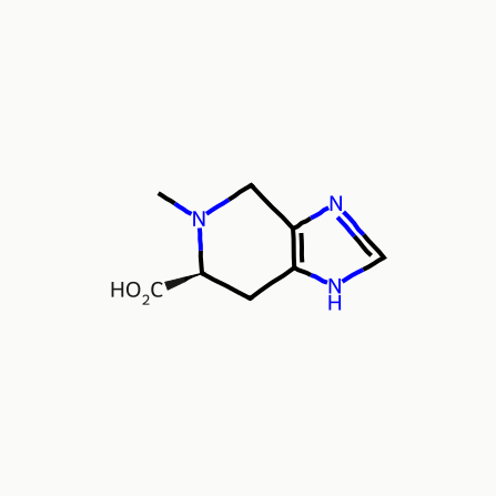 CN1Cc2nc[nH]c2C[C@H]1C(=O)O